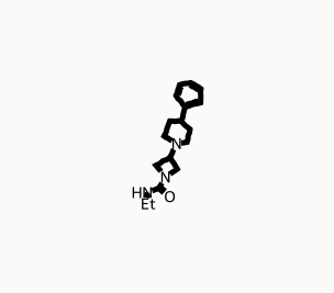 CCNC(=O)N1CC(N2CCC(c3ccccc3)CC2)C1